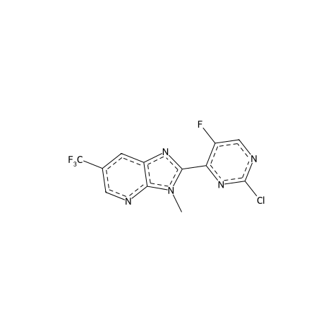 Cn1c(-c2nc(Cl)ncc2F)nc2cc(C(F)(F)F)cnc21